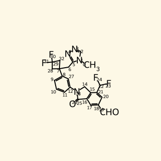 Cn1cnnc1CC1(c2cccc(N3Cc4c(cc(C=O)cc4C(F)F)C3=O)c2)CC(F)(F)C1